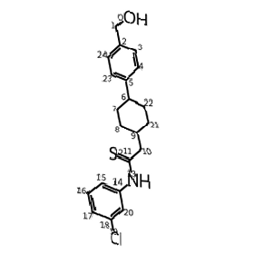 OCc1ccc(C2CCC(CC(=S)Nc3cccc(Cl)c3)CC2)cc1